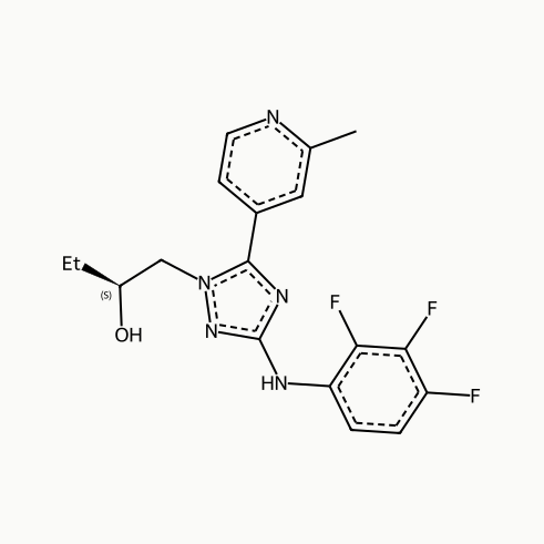 CC[C@H](O)Cn1nc(Nc2ccc(F)c(F)c2F)nc1-c1ccnc(C)c1